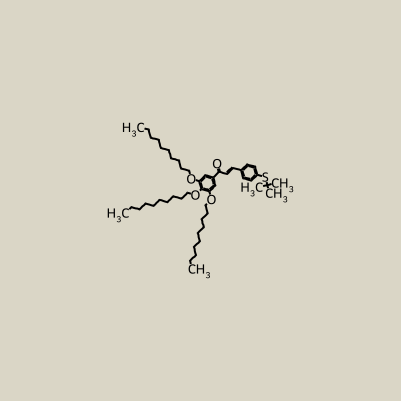 CCCCCCCCCCOc1cc(C(=O)C=Cc2ccc(SC(C)(C)C)cc2)cc(OCCCCCCCCCC)c1OCCCCCCCCCC